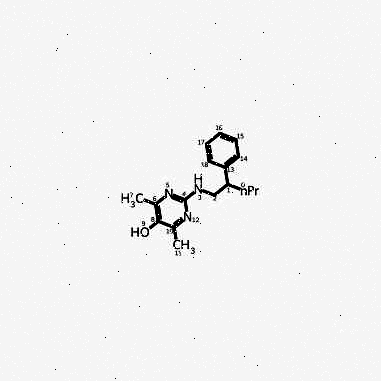 CCCC(CNc1nc(C)c(O)c(C)n1)c1ccccc1